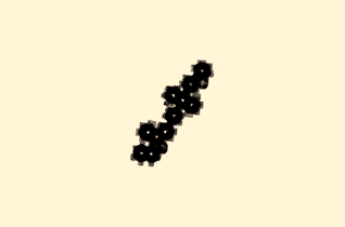 c1ccc2c(c1)ccc1oc3c4ccc(-c5ccc(-c6c7ccccc7c(-c7ccc8c(c7)oc7ccccc78)c7ccccc67)cc5)cc4c4ccccc4c3c12